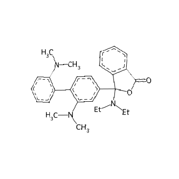 CCN(CC)C1(c2ccc(-c3ccccc3N(C)C)c(N(C)C)c2)OC(=O)c2ccccc21